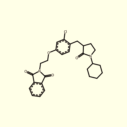 O=C1c2ccccc2C(=O)N1CCOc1ccc(CC2CCN(C3CCCCC3)C2=O)c(Cl)c1